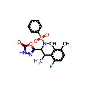 Cc1ccc(F)c(C(C)C(NS(=O)(=O)c2ccccc2)c2n[nH]c(=O)o2)c1C